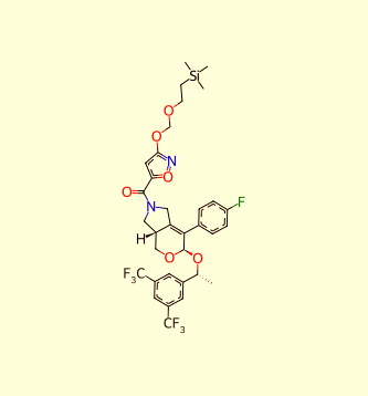 C[C@@H](O[C@H]1OC[C@@H]2CN(C(=O)c3cc(OCOCC[Si](C)(C)C)no3)CC2=C1c1ccc(F)cc1)c1cc(C(F)(F)F)cc(C(F)(F)F)c1